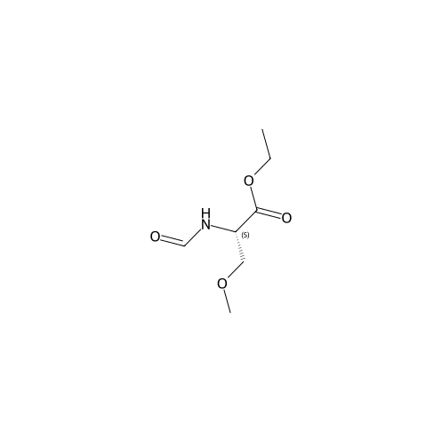 CCOC(=O)[C@H](COC)NC=O